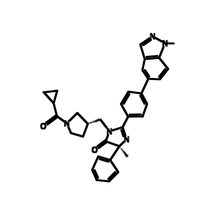 Cn1ncc2cc(-c3ccc(C4=N[C@@](C)(c5ccccc5)C(=O)N4C[C@@H]4CCN(C(=O)C5CC5)C4)cc3)ccc21